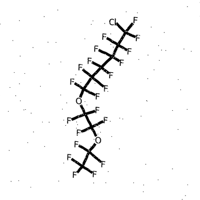 FC(F)(F)C(F)(F)OC(F)(F)C(F)(F)OC(F)(F)C(F)(F)C(F)(F)C(F)(F)C(F)(F)C(F)(F)Cl